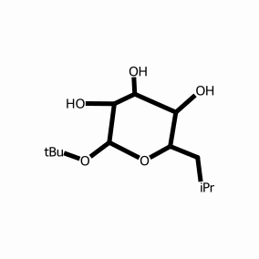 CC(C)CC1OC(OC(C)(C)C)C(O)C(O)C1O